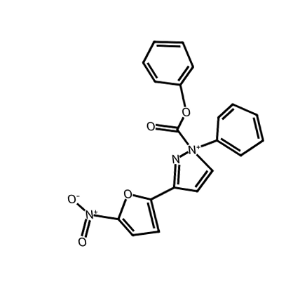 O=C(Oc1ccccc1)[N+]1(c2ccccc2)C=CC(c2ccc([N+](=O)[O-])o2)=N1